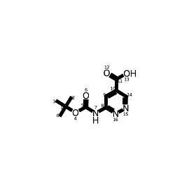 CC(C)(C)OC(=O)Nc1cc(C(=O)O)cnn1